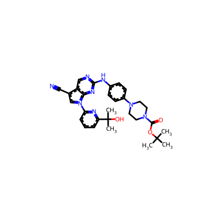 CC(C)(C)OC(=O)N1CCN(c2ccc(Nc3ncc4c(C#N)cn(-c5cccc(C(C)(C)O)n5)c4n3)cc2)CC1